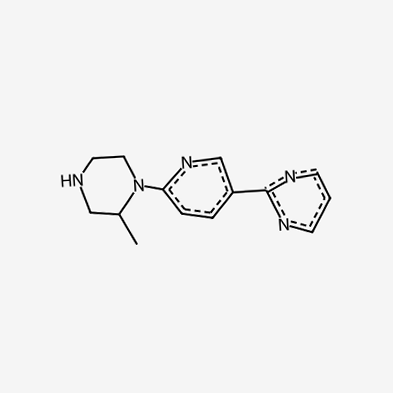 CC1CNCCN1c1ccc(-c2ncccn2)cn1